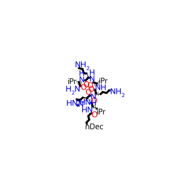 CCCCCCCCCCCCCC(=O)N[C@@H](CC(C)C)C(=O)N[C@@H](Cc1c[nH]cn1)C(=O)N[C@@H](CCCCN)C(=O)N[C@H](C(=O)N[C@@H](CCCCN)C(=O)N[C@H](C(N)=O)C(C)C)C(C)C